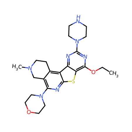 CCOc1nc(N2CCNCC2)nc2c1sc1nc(N3CCOCC3)c3c(c12)CCN(C)C3